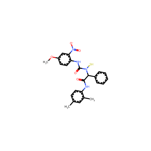 COc1ccc(NC(=O)N(S)C(C(=O)Nc2ccc(C)cc2C)c2ccccc2)c([N+](=O)[O-])c1